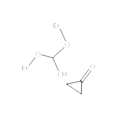 CCOC(C)OCC.O=C1CC1